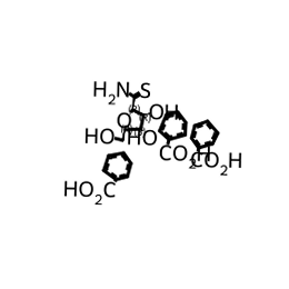 NC(=S)[C@@H]1O[C@H](CO)[C@@H](O)[C@H]1O.O=C(O)c1ccccc1.O=C(O)c1ccccc1.O=C(O)c1ccccc1